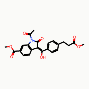 COC(=O)CCc1ccc(C(O)=C2C(=O)N(C(C)=O)c3cc(C(=O)OC)ccc32)cc1